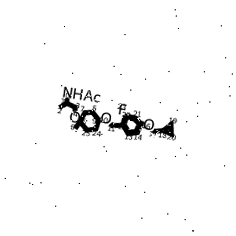 CC(=O)NC(C)COC1(C)CCC(OCc2ccc(OCC3CC3)cc2F)CC1